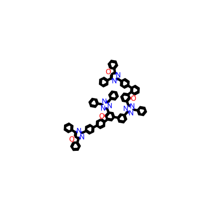 c1ccc(-c2nc(-c3ccccc3)nc(-c3cc(-c4cccc(-c5nc(-c6ccccc6)nc(-c6cccc7c6oc6cccc(-c8ccc(-c9nc(-c%10ccccc%10)c%10oc%11ccccc%11c%10n9)cc8)c67)n5)c4)cc4c3oc3cc(-c5ccc(-c6nc(-c7ccccc7)c7oc8ccccc8c7n6)cc5)ccc34)n2)cc1